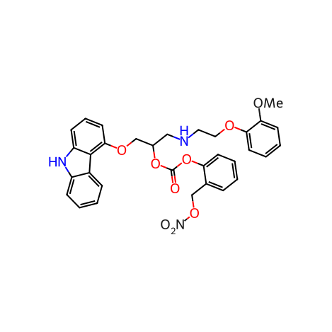 COc1ccccc1OCCNCC(COc1cccc2[nH]c3ccccc3c12)OC(=O)Oc1ccccc1CO[N+](=O)[O-]